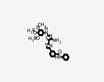 COc1cc(Nc2nc(N)c(-c3nc(-c4cccc(C(=O)Nc5ccccc5)c4)cs3)s2)cc(OC)c1OC